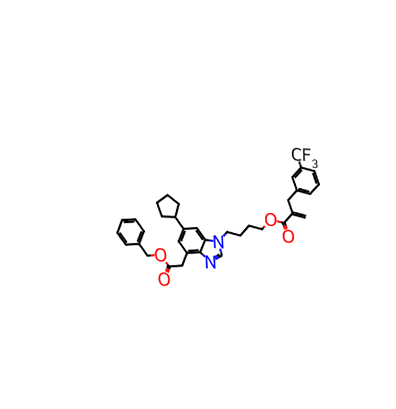 C=C(Cc1cccc(C(F)(F)F)c1)C(=O)OCCCCn1cnc2c(CC(=O)OCc3ccccc3)cc(C3CCCC3)cc21